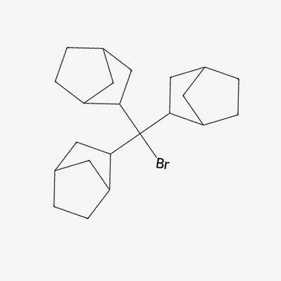 BrC(C1CC2CCC1C2)(C1CC2CCC1C2)C1CC2CCC1C2